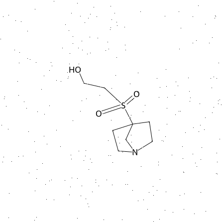 O=S(=O)(CCO)C12CCN(CC1)C2